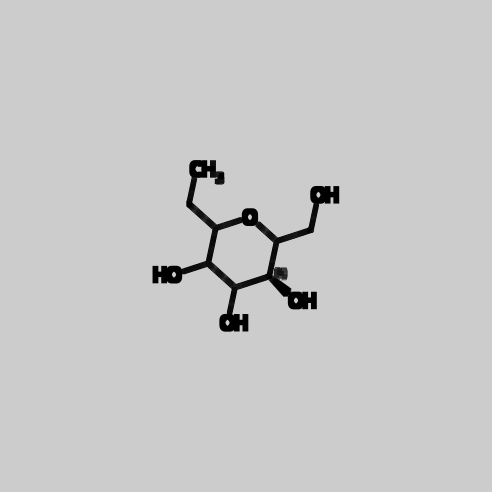 CCC1OC(CO)[C@@H](O)C(O)C1O